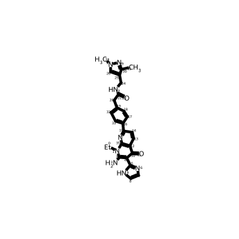 CCn1c(N)c(-c2ncc[nH]2)c(=O)c2ccc(-c3ccc(CC(=O)NCc4cn(C)nc4C)cc3)nc21